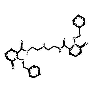 O=C(NCCNCCNC(=O)c1cccc(=O)n1OCc1ccccc1)c1cccc(=O)n1OCc1ccccc1